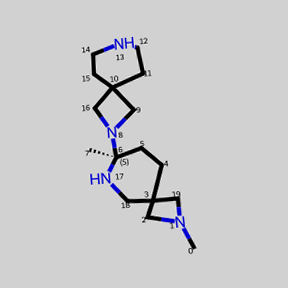 CN1CC2(CC[C@](C)(N3CC4(CCNCC4)C3)NC2)C1